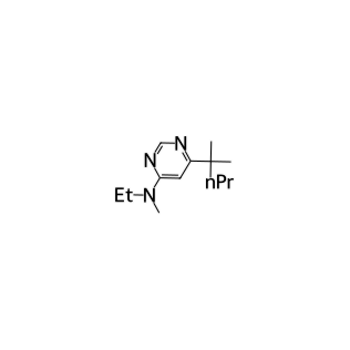 CCCC(C)(C)c1cc(N(C)CC)ncn1